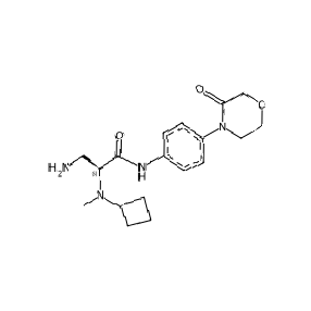 CN(C1CCC1)[C@@H](CN)C(=O)Nc1ccc(N2CCOCC2=O)cc1